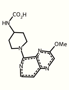 COc1cnc2ccnc(N3CCC(NC(=O)O)CC3)c2n1